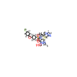 CC(SCc1nccn1C)C(C(=O)NO)N(C)S(=O)(=O)c1ccc(Oc2ccc(F)cc2)cc1